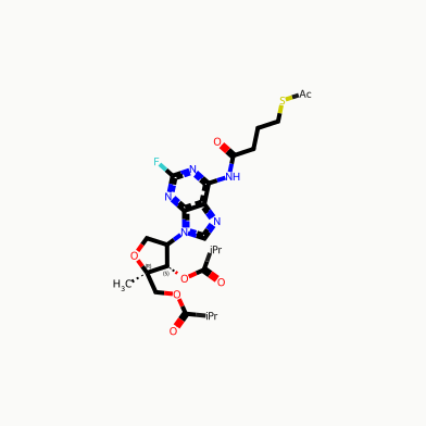 CC(=O)SCCCC(=O)Nc1nc(F)nc2c1ncn2C1CO[C@](C)(COC(=O)C(C)C)[C@H]1OC(=O)C(C)C